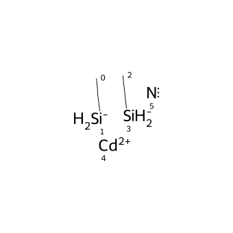 C[SiH2-].C[SiH2-].[Cd+2].[N]